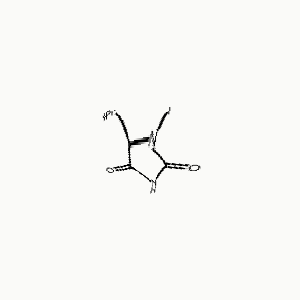 CC(C)C1C(=O)NC(=O)N1I